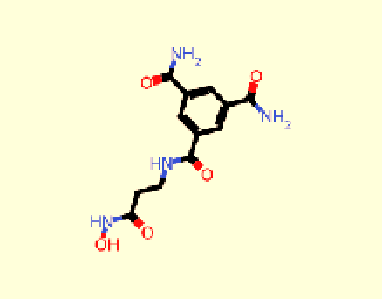 NC(=O)c1cc(C(N)=O)cc(C(=O)NCCC(=O)NO)c1